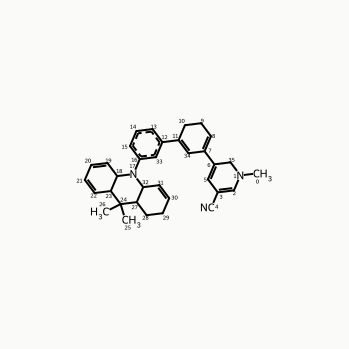 CN1C=C(C#N)C=C(C2=CCCC(c3cccc(N4C5C=CC=CC5C(C)(C)C5CCC=CC54)c3)=C2)C1